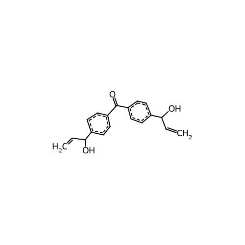 C=CC(O)c1ccc(C(=O)c2ccc(C(O)C=C)cc2)cc1